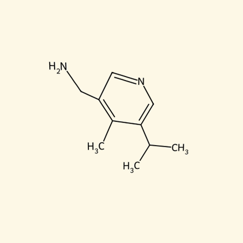 Cc1c(CN)cncc1C(C)C